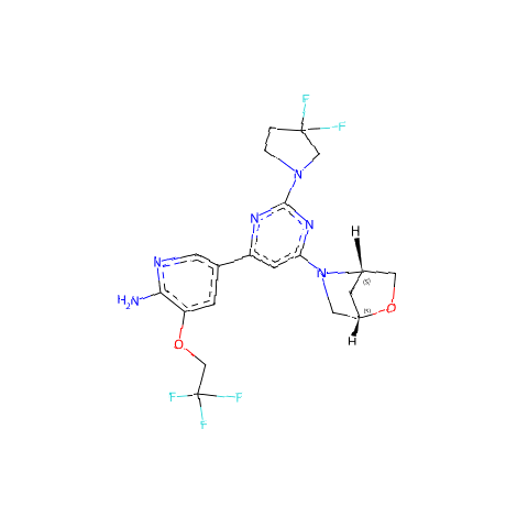 Nc1ncc(-c2cc(N3C[C@@H]4C[C@H]3CO4)nc(N3CCC(F)(F)C3)n2)cc1OCC(F)(F)F